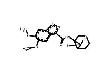 COc1cc2snc(C(=O)N[C@@H]3CN4CCC3CC4)c2cc1OC